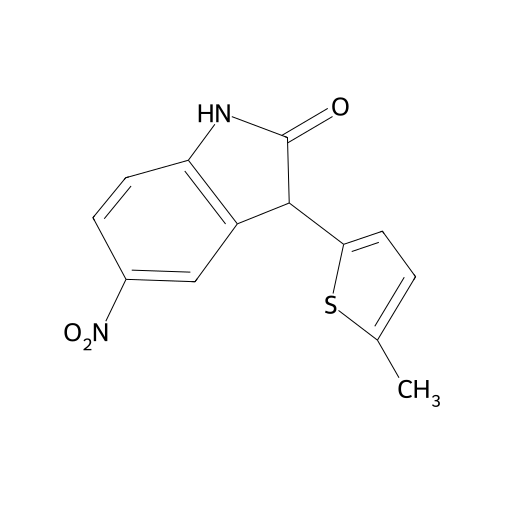 Cc1ccc(C2C(=O)Nc3ccc([N+](=O)[O-])cc32)s1